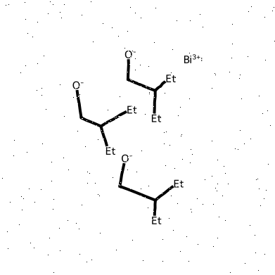 CCC(CC)C[O-].CCC(CC)C[O-].CCC(CC)C[O-].[Bi+3]